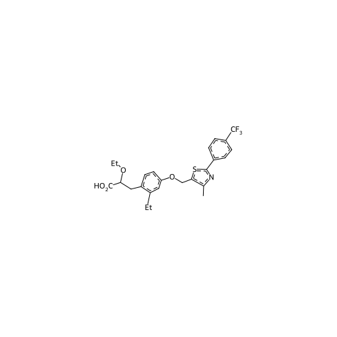 CCOC(Cc1ccc(OCc2sc(-c3ccc(C(F)(F)F)cc3)nc2C)cc1CC)C(=O)O